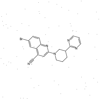 N#Cc1cc(N2CCCC(c3ncccn3)C2)nc2ccc(Br)cc12